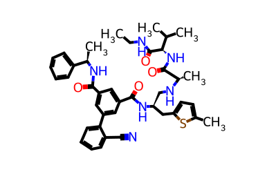 CCNC(=O)[C@@H](NC(=O)[C@H](C)NC[C@@H](Cc1ccc(C)s1)NC(=O)c1cc(C(=O)N[C@H](C)c2ccccc2)cc(-c2ccccc2C#N)c1)C(C)C